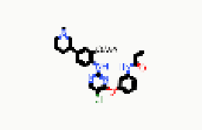 C=CC(=O)Nc1cccc(Oc2nc(Nc3ccc(C4CCCN(C)C4)cc3OC)ncc2Cl)c1